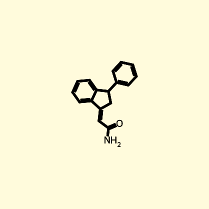 NC(=O)/C=C1\CC(c2ccccc2)c2ccccc21